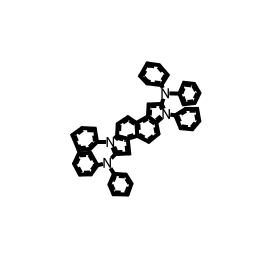 c1ccc(N(c2ccccc2)c2cc3c4ccc5c(cc(N(c6ccccc6)c6ccccc6)n5-c5ccccc5)c4ccc3n2-c2ccccc2)cc1